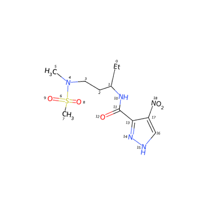 CCC(CCN(C)S(C)(=O)=O)NC(=O)c1n[nH]cc1[N+](=O)[O-]